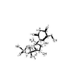 BC(B)(OP(=O)(O)O)[C@@]1(F)O[C@@](B)(n2cc(CO)c(=O)[nH]c2=O)[C@H](O)[C@@H]1O